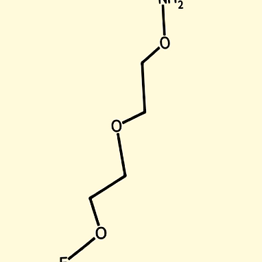 NOCCOCCOF